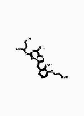 CCCC(CCO)Oc1nc(N)c2ncc(Cc3cccc(OCCNC)c3OC)n2n1